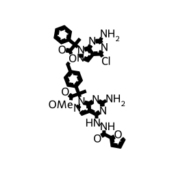 COC(=O)C(C)(c1ccc(COC(=O)C(C)(c2ccccc2)n2ncc3c(Cl)nc(N)nc32)cc1)n1ncc2c(NNC(=O)c3ccco3)nc(N)nc21